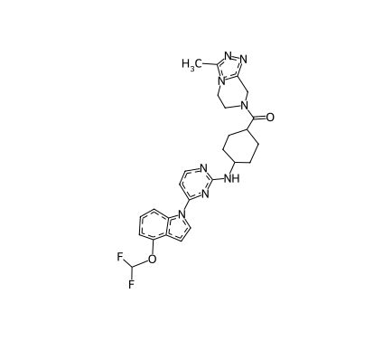 Cc1nnc2n1CCN(C(=O)C1CCC(Nc3nccc(-n4ccc5c(OC(F)F)cccc54)n3)CC1)C2